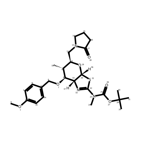 COc1ccc(CO[C@H]2[C@H](C)[C@@H](CN3CCCC3=O)O[C@@H]3SC(N(C)C(=O)OC(C)(C)C)=N[C@H]23)cc1